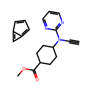 C#CN(c1ncccn1)C1CCC(C(=O)OC)CC1.c1cc2cc-2c1